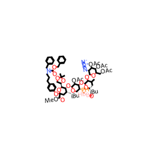 CC[C@H](C)C1O[C@H](O[C@H]2C([C@H]3COC(C)(C)O3)O[C@@](Oc3ccc(CCCN(Cc4ccccc4)C(=O)OCc4ccccc4)cc3)(C(=O)OC)C[C@H]2C)C(OC(C)=O)[C@@H](O[C@H]2O[C@@H]([C@@H](C)CC)CC(C)C2O[C@H]2OC(COC(C)=O)[C@@H](OC(C)=O)C(OC(C)=O)[C@H]2N=[N+]=[N-])[C@@H]1PBB=O